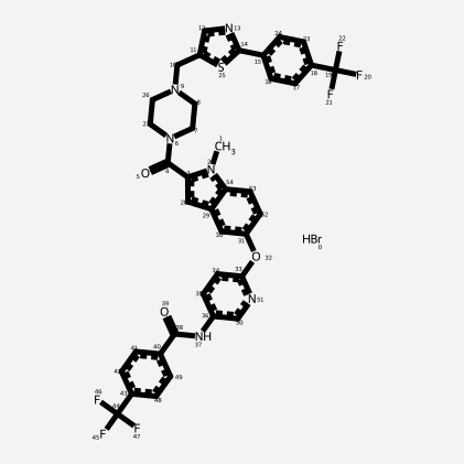 Br.Cn1c(C(=O)N2CCN(Cc3cnc(-c4ccc(C(F)(F)F)cc4)s3)CC2)cc2cc(Oc3ccc(NC(=O)c4ccc(C(F)(F)F)cc4)cn3)ccc21